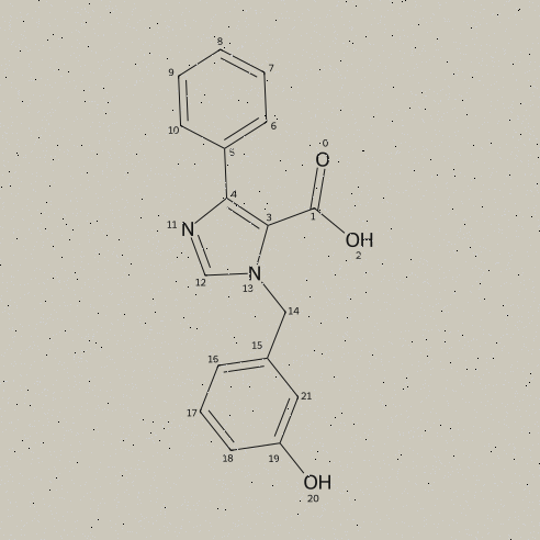 O=C(O)c1c(-c2ccccc2)ncn1Cc1cccc(O)c1